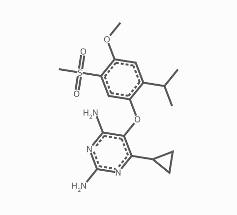 COc1cc(C(C)C)c(Oc2c(N)nc(N)nc2C2CC2)cc1S(C)(=O)=O